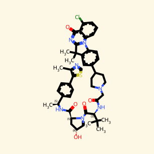 Cc1ncsc1-c1ccc([C@H](C)NC(=O)[C@@H]2C[C@@H](O)CN2C(=O)[C@@H](NC(=O)CN2CCC(c3ccc4c(c3)C(C)(C)c3nc(=O)c5c(Cl)cccc5n3-4)CC2)C(C)(C)C)cc1